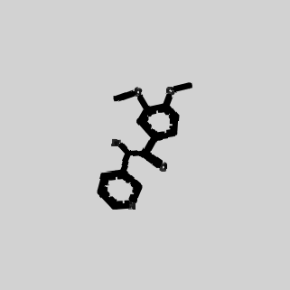 COc1ccc(C(=O)C(Br)c2cccnc2)cc1OC